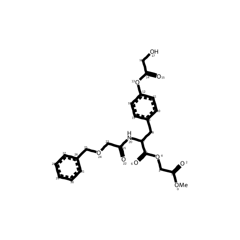 COC(=O)COC(=O)C(Cc1ccc(OC(=O)CO)cc1)NC(=O)COCc1ccccc1